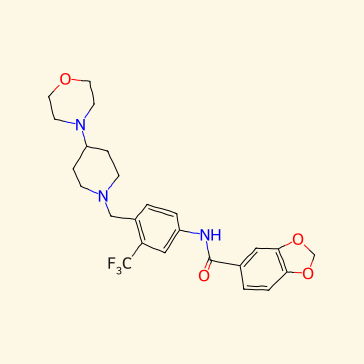 O=C(Nc1ccc(CN2CCC(N3CCOCC3)CC2)c(C(F)(F)F)c1)c1ccc2c(c1)OCO2